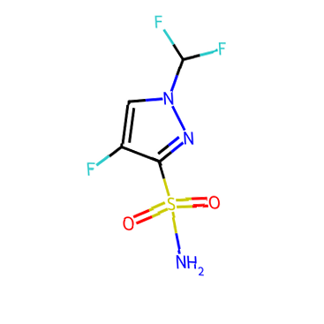 NS(=O)(=O)c1nn(C(F)F)cc1F